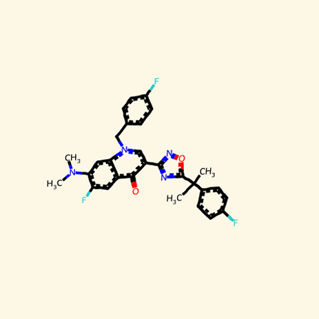 CN(C)c1cc2c(cc1F)c(=O)c(-c1noc(C(C)(C)c3ccc(F)cc3)n1)cn2Cc1ccc(F)cc1